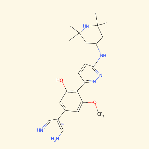 CC1(C)CC(Nc2ccc(-c3c(O)cc(/C(C=N)=C/N)cc3OC(F)(F)F)nn2)CC(C)(C)N1